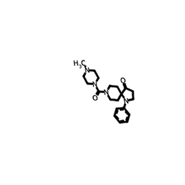 CN1CCN(C(=O)N2CCC3(CC2)C(=O)CCN3c2ccccc2)CC1